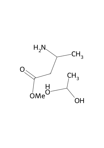 CC(O)O.COC(=O)CC(C)N